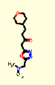 CN(C)Cc1nnc(CC(=O)CCC2CCOCC2)o1